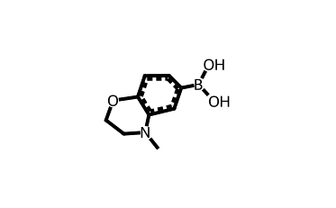 CN1CCOc2ccc(B(O)O)cc21